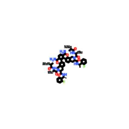 CNC(C)C(=O)NC(C(=O)N1Cc2cc(-c3c(C(N)=O)ccc(C(N)=O)c3-c3ccc4c(c3)CN(C(=O)C(NC(=O)C(C)NC)C(C)(C)C)C(C(=O)N[C@H](C)c3ccccc3F)C4)ccc2CC1C(=O)N[C@H](C)c1ccccc1F)C(C)(C)C